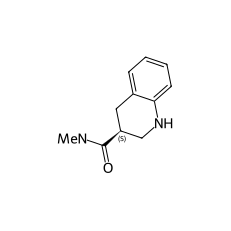 CNC(=O)[C@@H]1CNc2ccccc2C1